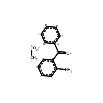 CC(=O)O.Nc1ccccc1C(=O)c1ccccc1